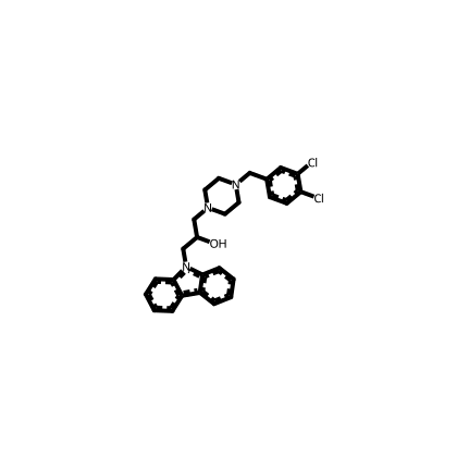 OC(CN1CCN(Cc2ccc(Cl)c(Cl)c2)CC1)Cn1c2ccccc2c2ccccc21